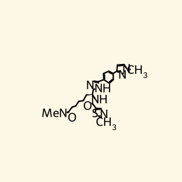 CNC(=O)CCCCC[C@H](NC(=O)c1cnc(C)s1)c1ncc(-c2ccc(-c3ccn(C)n3)cc2)[nH]1